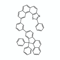 c1ccc(-c2nc3ccc4ccc5ccc(-c6cccc(-c7ccc8c(c7)C(c7ccccc7)(c7ccccc7)c7c-8ccc8ccccc78)c6)cc5c4c3s2)cc1